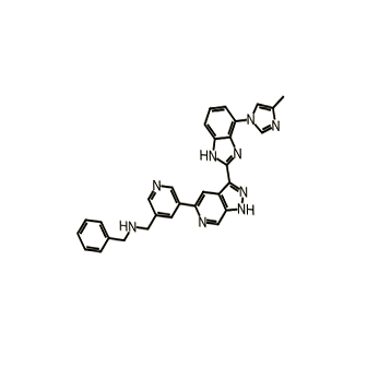 Cc1cn(-c2cccc3[nH]c(-c4n[nH]c5cnc(-c6cncc(CNCc7ccccc7)c6)cc45)nc23)cn1